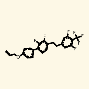 C=CCOc1ccc(-c2ccc(CCc3cc(F)c(C(F)(F)F)c(F)c3)c(F)c2F)cc1